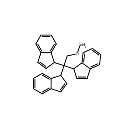 [SiH3]OCC(C1C=Cc2ccccc21)(C1C=Cc2ccccc21)C1C=Cc2ccccc21